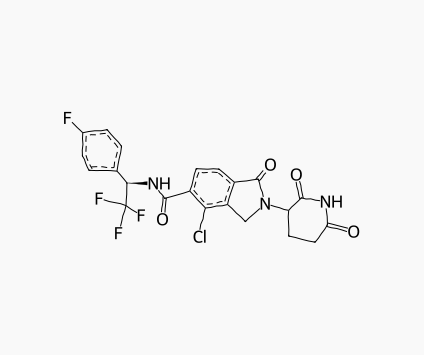 O=C1CCC(N2Cc3c(ccc(C(=O)N[C@H](c4ccc(F)cc4)C(F)(F)F)c3Cl)C2=O)C(=O)N1